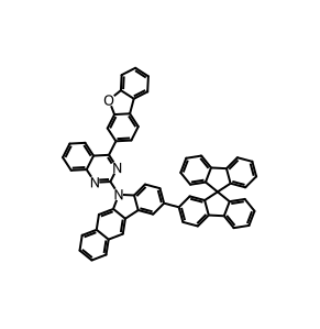 c1ccc2c(c1)-c1ccccc1C21c2ccccc2-c2ccc(-c3ccc4c(c3)c3cc5ccccc5cc3n4-c3nc(-c4ccc5c(c4)oc4ccccc45)c4ccccc4n3)cc21